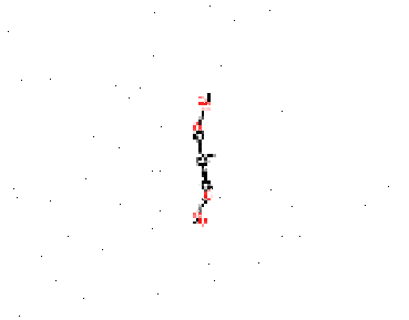 C=CC(=O)OCCCCOc1ccc(C#Cc2ccc(C#Cc3ccc(OCCCCOC(C)=O)cc3)cc2CC)cc1